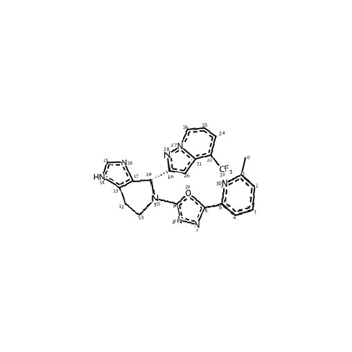 Cc1cccc(-c2nnc(N3CCc4[nH]cnc4[C@@H]3c3cc4c(C(F)(F)F)cccn4n3)o2)n1